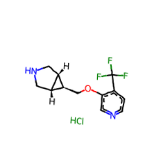 Cl.FC(F)(F)c1ccncc1OC[C@H]1[C@@H]2CNC[C@@H]21